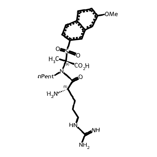 CCCCCN(C(=O)[C@@H](N)CCCNC(=N)N)[C@@](C)(C(=O)O)S(=O)(=O)c1ccc2ccc(OC)cc2c1